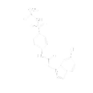 COC(=O)NS(=O)(=O)c1ccc(NC(=O)[C@@H](C)n2ccc3ccc(Cl)cc32)cc1